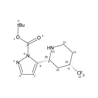 CC(C)(C)OC(=O)n1nccc1[C@H]1C[C@@H](C(F)(F)F)CCN1